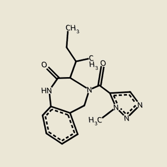 CCC(C)C1C(=O)Nc2ccccc2CN1C(=O)c1cnnn1C